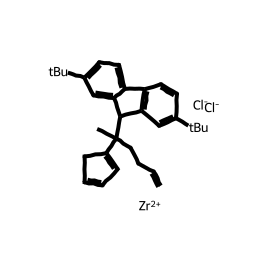 C=CCCC(C)(C1=CC=CC1)C1c2cc(C(C)(C)C)ccc2-c2ccc(C(C)(C)C)cc21.[Cl-].[Cl-].[Zr+2]